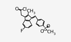 CC1=C(CC(=O)Cl)c2cc(F)ccc2/C1=C\c1ccc(S(C)(=O)=O)cc1